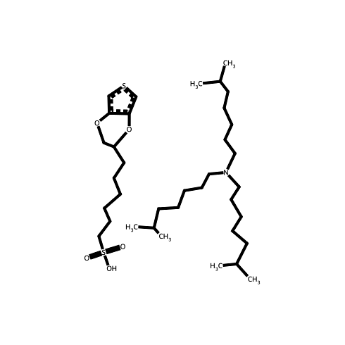 CC(C)CCCCCN(CCCCCC(C)C)CCCCCC(C)C.O=S(=O)(O)CCCCCCC1COc2cscc2O1